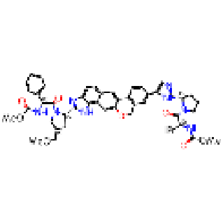 COC[C@@H]1C[C@@H](c2nc3ccc4cc5c(cc4c3[nH]2)OCc2cc(-c3cnc([C@@H]4CCCN4C(=O)[C@@H](NC(=O)OC)C(C)C)[nH]3)ccc2-5)N(C(=O)[C@H](NC(=O)OC)c2ccccc2)C1